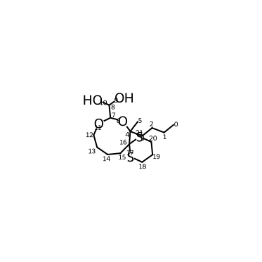 CCCCC1(C)OC(C(O)O)OCCCCC12SCCCS2